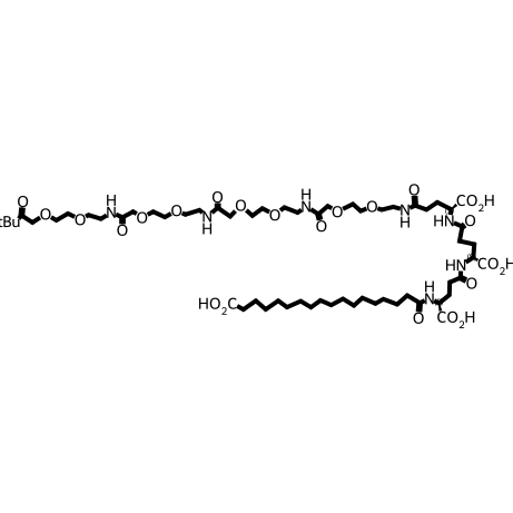 CC(C)(C)C(=O)COCCOCCNC(=O)COCCOCCNC(=O)COCCOCCNC(=O)COCCOCCNC(=O)CC[C@H](NC(=O)CC[C@H](NC(=O)CC[C@H](NC(=O)CCCCCCCCCCCCCCCCC(=O)O)C(=O)O)C(=O)O)C(=O)O